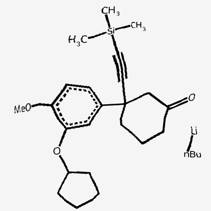 COc1ccc(C2(C#C[Si](C)(C)C)CCCC(=O)C2)cc1OC1CCCC1.[Li][CH2]CCC